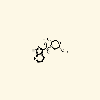 C[C@@H]1CN(S(=O)(=O)c2n[nH]c3ncccc23)[C@H](C)CO1